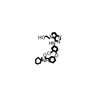 CC1(NC(=O)c2cccc(Oc3ccc(Nc4ncnc5ccn(CCO)c45)cc3Cl)c2)CCCCC1